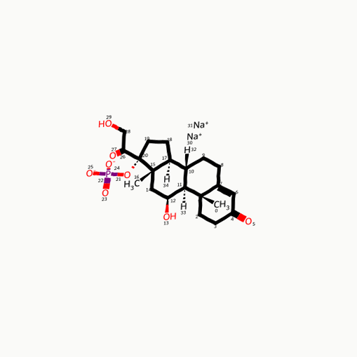 C[C@]12CCC(=O)C=C1CC[C@@H]1[C@@H]2[C@@H](O)C[C@@]2(C)[C@H]1CC[C@]2(OP(=O)([O-])[O-])C(=O)CO.[Na+].[Na+]